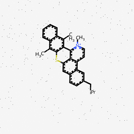 Cc1c2c(c(C)c3ccccc13)-c1c3c(cc4ccc(CC(C)C)cc4c3cc[n+]1C)S2